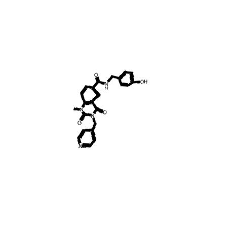 Cn1c(=O)n(Cc2ccncc2)c(=O)c2cc(C(=O)NCc3ccc(O)cc3)ccc21